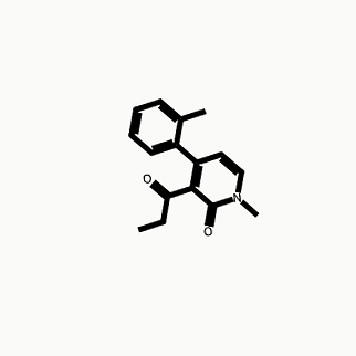 CCC(=O)c1c(-c2ccccc2C)ccn(C)c1=O